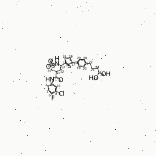 O=C(Nc1ccc(F)c(Cl)c1)C1CC(c2ccc(-c3ccc(CCCC(O)O)cc3)s2)NS(=O)(=O)C1